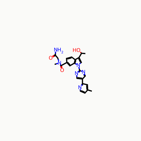 Cc1ccnc(-c2cnc(-n3cc(C(C)O)c4ccc(C(=O)N(C)CC(N)=O)cc43)nc2)c1